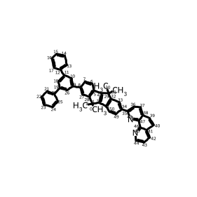 CC1(C)C2=C(c3ccc(-c4cc(-c5ccccc5)cc(-c5ccccc5)c4)cc31)C(C)(C)c1cc(-c3ccc4ccc5cccnc5c4n3)ccc12